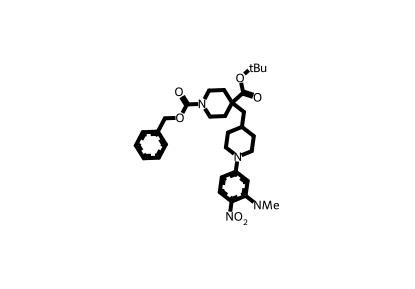 CNc1cc(N2CCC(CC3(C(=O)OC(C)(C)C)CCN(C(=O)OCc4ccccc4)CC3)CC2)ccc1[N+](=O)[O-]